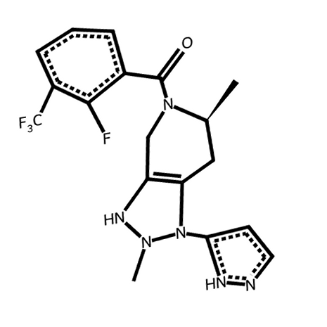 C[C@H]1CC2=C(CN1C(=O)c1cccc(C(F)(F)F)c1F)NN(C)N2c1ccn[nH]1